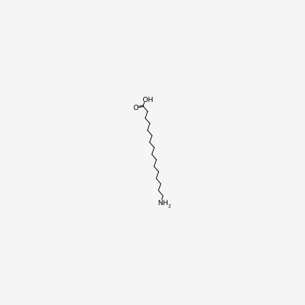 NCCCCCCCCCCCCCCCC(=O)O